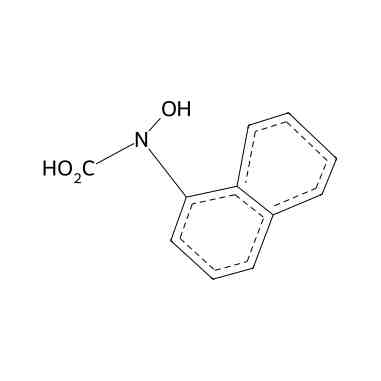 O=C(O)N(O)c1cccc2ccccc12